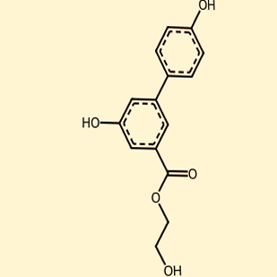 O=C(OCCO)c1cc(O)cc(-c2ccc(O)cc2)c1